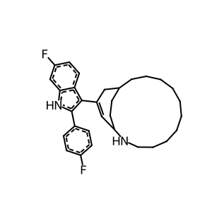 Fc1ccc(-c2[nH]c3cc(F)ccc3c2C2=CC3CCC(CCCCCCCCCCN3)C2)cc1